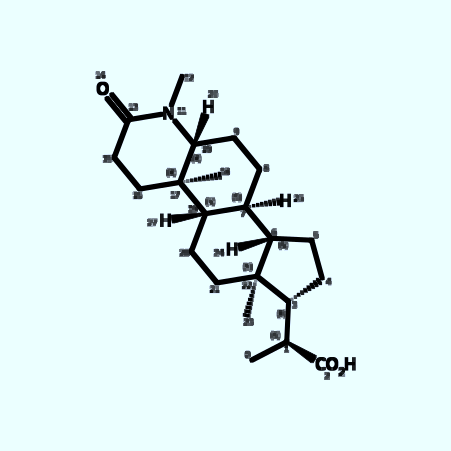 C[C@H](C(=O)O)[C@H]1CC[C@H]2[C@@H]3CC[C@H]4N(C)C(=O)CC[C@]4(C)[C@H]3CC[C@]12C